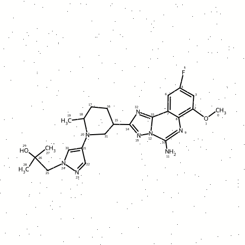 COc1cc(F)cc2c1nc(N)n1nc(C3CCC(C)N(c4cnn(CC(C)(C)O)c4)C3)nc21